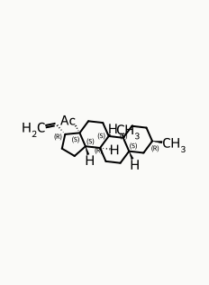 C=C[C@H]1CC[C@H]2[C@@H]3CC[C@H]4C[C@H](C)CC[C@]4(C)[C@H]3CC[C@]12C(C)=O